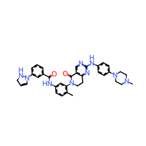 Cc1ccc(NC(=O)c2cccc(N3C=CCN3)c2)cc1N1CCc2nc(Nc3ccc(N4CCN(C)CC4)cc3)ncc2C1=O